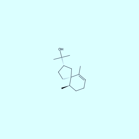 CC1=CCC[C@@H](C)[C@]12CC[C@H](C(C)(C)O)C2